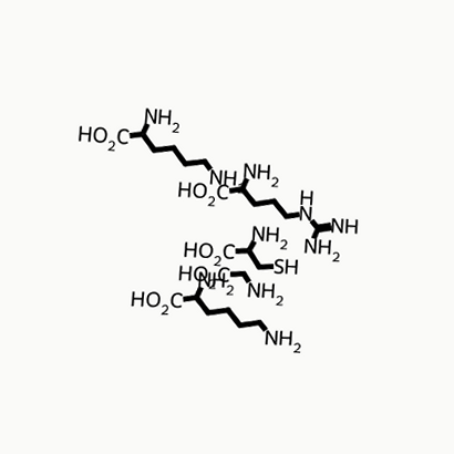 N=C(N)NCCCC(N)C(=O)O.NC(CS)C(=O)O.NCC(=O)O.NCCCCC(N)C(=O)O.NCCCCC(N)C(=O)O